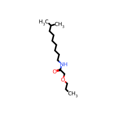 CCCOCC(=O)NCCCCCCCC(C)C